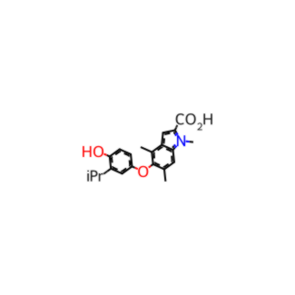 Cc1cc2c(cc(C(=O)O)n2C)c(C)c1Oc1ccc(O)c(C(C)C)c1